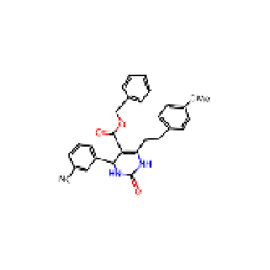 COc1ccc(CCC2=C(C(=O)OCc3ccccc3)C(c3cccc(C#N)c3)NC(=O)N2)cc1